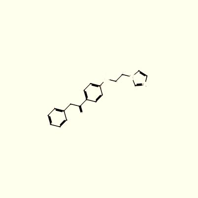 O=C(Cc1ccccc1)c1ccc(OCCn2ccnc2)cc1